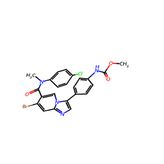 COC(=O)Nc1ccc(-c2cnc3cc(Br)c(C(=O)N(C)c4ccc(Cl)cc4)cn23)cc1